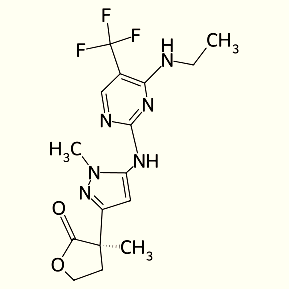 CCNc1nc(Nc2cc([C@@]3(C)CCOC3=O)nn2C)ncc1C(F)(F)F